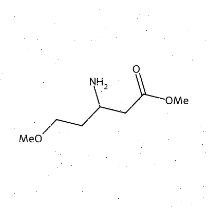 COCCC(N)CC(=O)OC